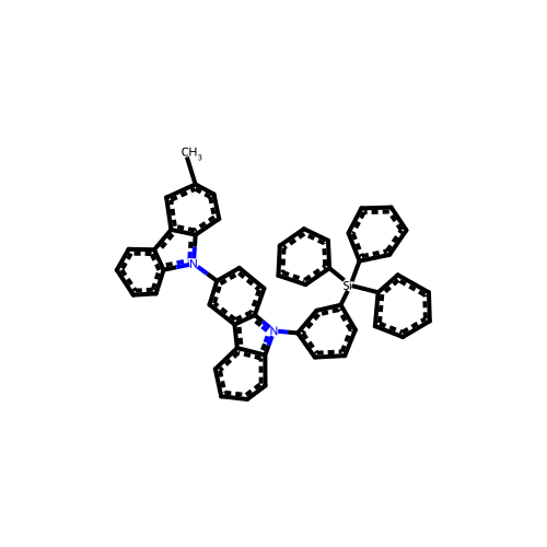 Cc1ccc2c(c1)c1ccccc1n2-c1ccc2c(c1)c1ccccc1n2-c1cccc([Si](c2ccccc2)(c2ccccc2)c2ccccc2)c1